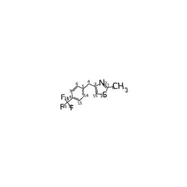 Cc1nc(Cc2ccc(C(F)(F)F)cc2)cs1